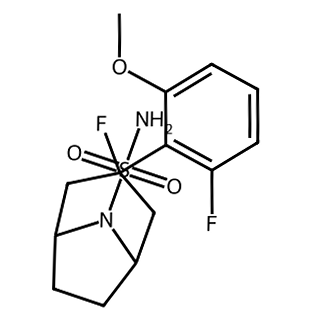 COc1cccc(F)c1C1(F)CC2CCC(C1)N2S(N)(=O)=O